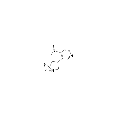 CN(C)c1ccncc1C1CNC2(CC2)C1